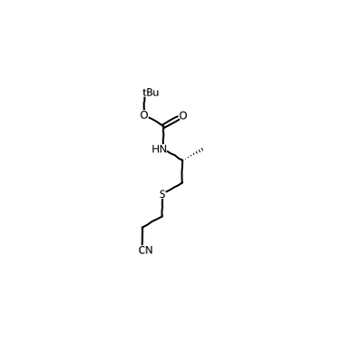 C[C@H](CSCCC#N)NC(=O)OC(C)(C)C